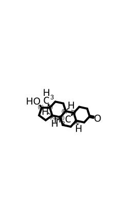 C[C@@]12CC[C@@H]3[C@@H](CC[C@@H]4CC(=O)CC[C@]43C)[C@H]1CC[C@H]2O